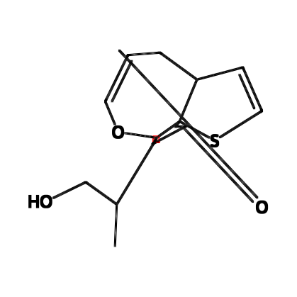 CC(CO)C1=C2OC=CCC3C=CSC23CC(=O)C1